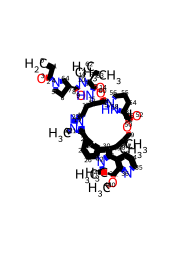 C=CC(=O)N1CC[C@H](C(=O)N(C)[C@H](C(=O)N[C@H]2Cc3nc(n(C)n3)-c3ccc4c(c3)c(c(-c3cccnc3[C@H](C)OC)n4CC)CC(C)(C)COC(=O)[C@@H]3CCCN(N3)C2=O)C(C)C)C1